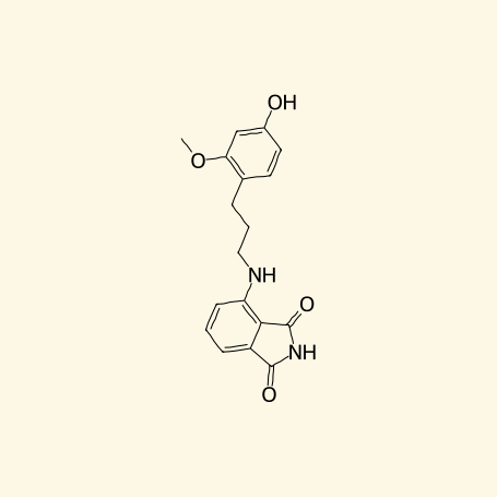 COc1cc(O)ccc1CCCNc1cccc2c1C(=O)NC2=O